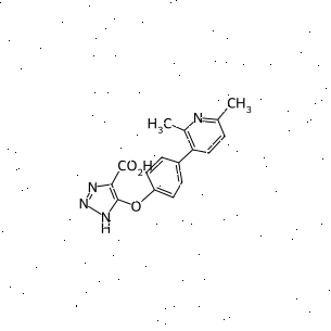 Cc1ccc(-c2ccc(Oc3[nH]nnc3C(=O)O)cc2)c(C)n1